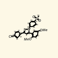 COc1ccc(OC)c(-c2cc(-c3ccc(Cl)cc3)nn2-c2ccc(S(C)(=O)=O)cc2)c1